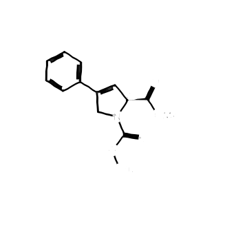 COC(=O)[C@@H]1C=C(c2ccccc2)CN1C(=O)OC(C)(C)C